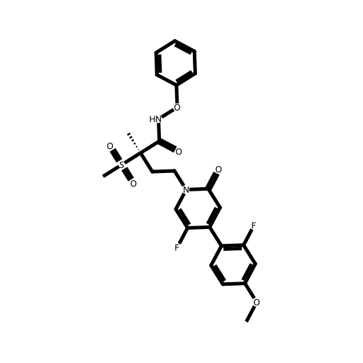 COc1ccc(-c2cc(=O)n(CC[C@](C)(C(=O)NOc3ccccc3)S(C)(=O)=O)cc2F)c(F)c1